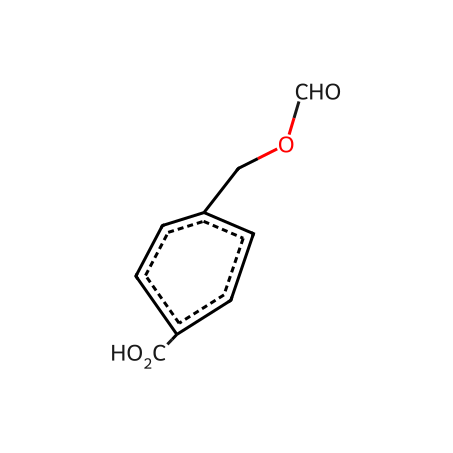 O=COCc1ccc(C(=O)O)cc1